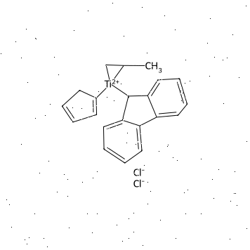 C[CH]1[CH2][Ti+2]1([C]1=CC=CC1)[CH]1c2ccccc2-c2ccccc21.[Cl-].[Cl-]